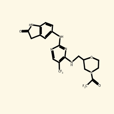 O=C1Cc2cc(Nc3ncc(C(F)(F)F)c(NCC4CN(C(=O)C(F)(F)F)CCO4)n3)ccc2N1